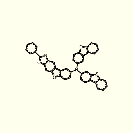 c1ccc(-c2nc3cc4c(cc3o2)oc2ccc(N(c3ccc5c(c3)sc3ccccc35)c3ccc5oc6ccccc6c5c3)cc24)cc1